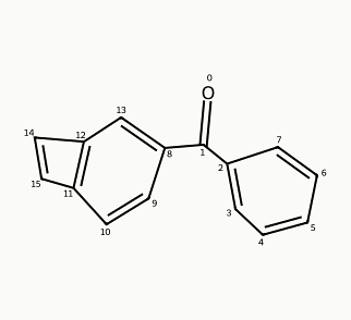 O=C(c1ccccc1)c1ccc2c(c1)C=C2